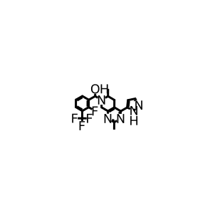 Cc1nc2c(c(-c3ccn[nH]3)n1)CC(C)N(C(O)c1cccc(C(F)(F)F)c1F)C2